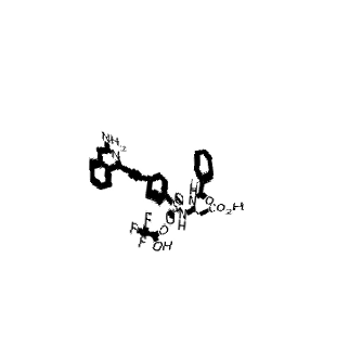 Nc1cc2ccccc2c(C#Cc2ccc(S(=O)(=O)N[C@@H](CC(=O)O)NC(=O)c3ccccc3)cc2)n1.O=C(O)C(F)(F)F